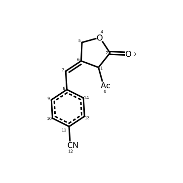 CC(=O)C1C(=O)OCC1=Cc1ccc(C#N)cc1